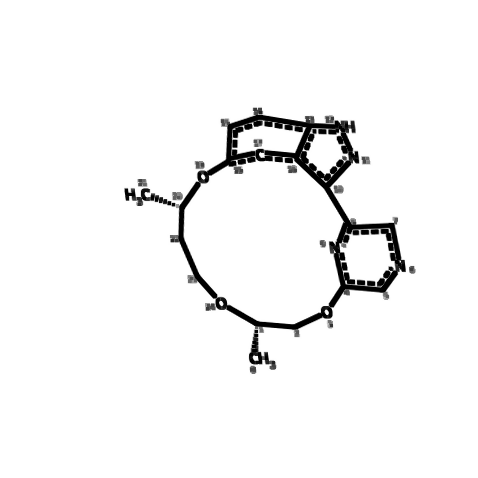 C[C@H]1COc2cncc(n2)-c2n[nH]c3ccc(cc23)O[C@@H](C)CCO1